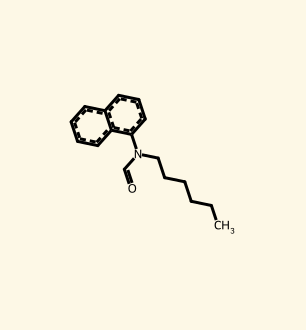 CCCCCCN(C=O)c1cccc2ccccc12